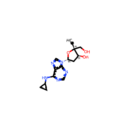 C#C[C@]1(CO)O[C@@H](n2cnc3c(NC4CC4)ncnc32)C[C@@H]1O